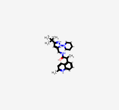 Cc1ccc2c(C(C)C(=O)NCc3cc(C(C)(C)C)nn3N3CCCCC3)cccc2n1